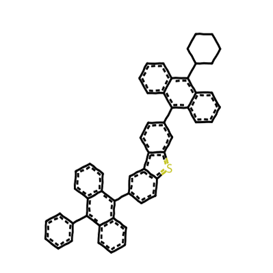 c1ccc(-c2c3ccccc3c(-c3ccc4sc5cc(-c6c7ccccc7c(C7CCCCC7)c7ccccc67)ccc5c4c3)c3ccccc23)cc1